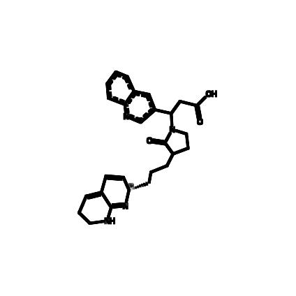 O=C(O)CC(c1cnc2ccccc2c1)N1CCC(CCC[C@H]2C=CC3=CCCNC3=N2)C1=O